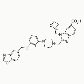 O=C(O)c1ccc2nc(CN3CCN(c4cccc(OCc5ccc6ocnc6c5)n4)CC3)n(C[C@@H]3CCO3)c2c1